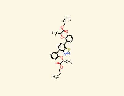 CCCOC(=O)C(C)Oc1ccccc1-c1ccc(-c2ccccc2OC(C)C(=O)OCCC)c2snnc12